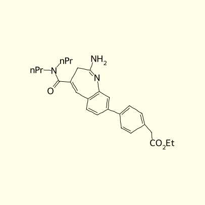 CCCN(CCC)C(=O)C1=Cc2ccc(-c3ccc(CC(=O)OCC)cc3)cc2N=C(N)C1